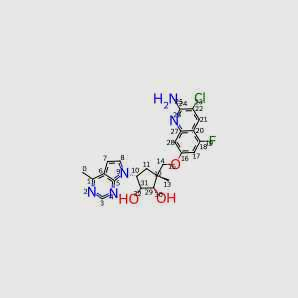 Cc1ncnc2c1ccn2[C@@H]1C[C@](C)(COc2cc(F)c3cc(Cl)c(N)nc3c2)[C@@H](O)[C@H]1O